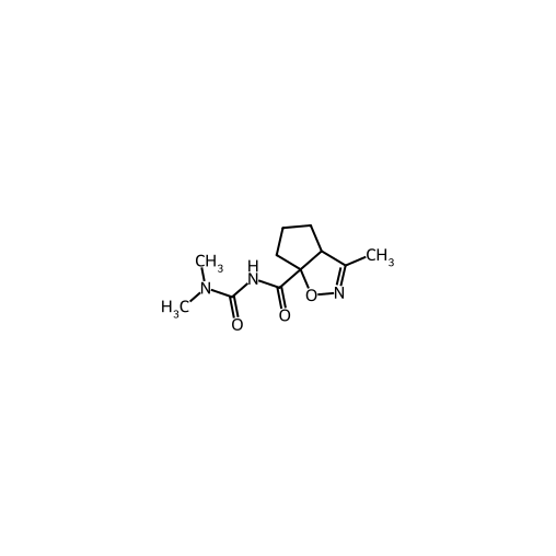 CC1=NOC2(C(=O)NC(=O)N(C)C)CCCC12